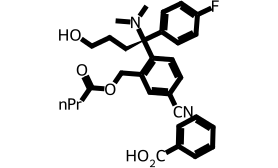 CCCC(=O)OCc1cc(C#N)ccc1[C@@](CCCO)(c1ccc(F)cc1)N(C)C.O=C(O)c1ccccc1